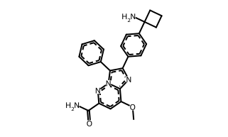 COc1cc(C(N)=O)nn2c(-c3ccccc3)c(-c3ccc(C4(N)CCC4)cc3)nc12